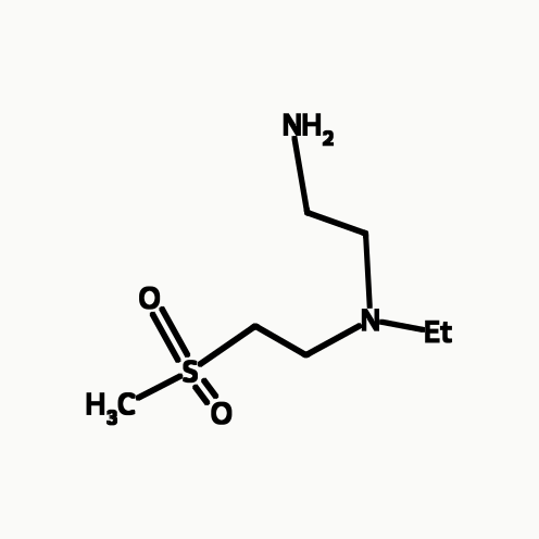 CCN(CCN)CCS(C)(=O)=O